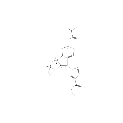 COC(=O)c1ncn([C@@H]2C3=CC[C@@H](OC(=O)C(C)C)C[C@@H]3[C@H]3OC(C)(C)O[C@H]32)n1